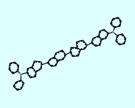 c1ccc(N(c2ccccc2)c2ccc3cc(-c4ccc5cc(-c6ccc7cc(-c8ccc9cc(N(c%10ccccc%10)c%10ccccc%10)ccc9c8)ccc7c6)ccc5c4)ccc3c2)cc1